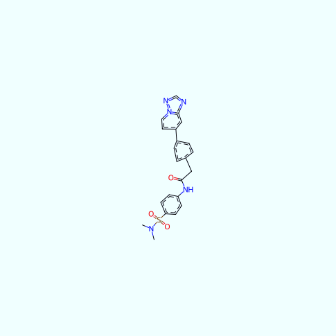 CN(C)S(=O)(=O)c1ccc(NC(=O)Cc2ccc(-c3ccn4ncnc4c3)cc2)cc1